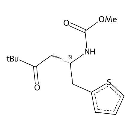 COC(=O)N[C@@H](CC(=O)C(C)(C)C)Cc1cccs1